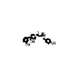 Cc1cccc(CC2(CO)CCN(C(=O)Cc3cncn3Cc3ccc(C#N)cc3)CC2)c1